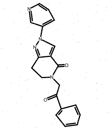 O=C(CN1CCc2nn(-c3cccnc3)cc2C1=O)c1ccccc1